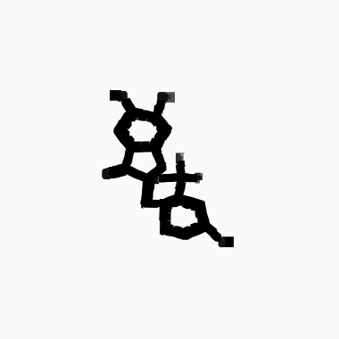 O=C1/C(=C/c2ccc(O)cc2C(F)(F)F)Cc2cc(O)c(O)cc21